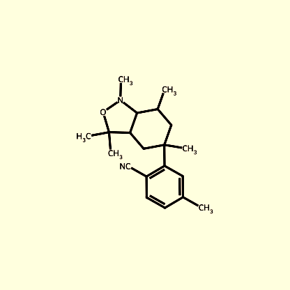 Cc1ccc(C#N)c(C2(C)CC(C)C3C(C2)C(C)(C)ON3C)c1